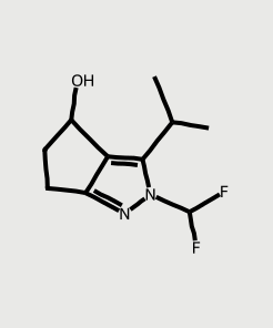 CC(C)c1c2c(nn1C(F)F)CCC2O